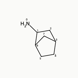 NC1CC2[CH]CC1C2